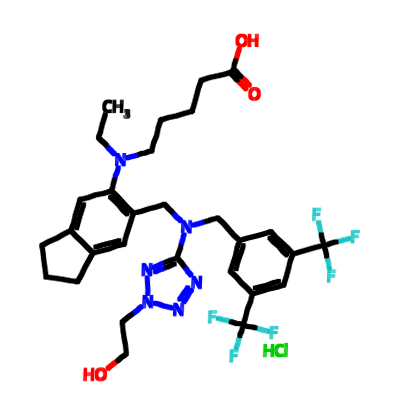 CCN(CCCCC(=O)O)c1cc2c(cc1CN(Cc1cc(C(F)(F)F)cc(C(F)(F)F)c1)c1nnn(CCO)n1)CCC2.Cl